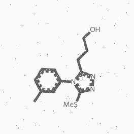 CSc1nnc(CCCO)n1-c1cccc(C)c1